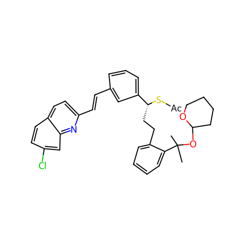 CC(=O)S[C@H](CCc1ccccc1C(C)(C)OC1CCCCO1)c1cccc(/C=C/c2ccc3ccc(Cl)cc3n2)c1